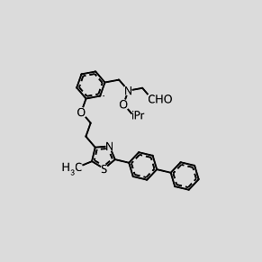 Cc1sc(-c2ccc(-c3ccccc3)cc2)nc1CCOc1[c]c(CN(CC=O)OC(C)C)ccc1